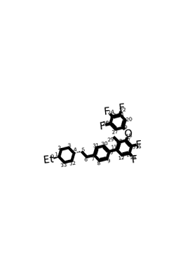 CC[C@H]1CC[C@H](CCc2ccc(-c3cc(F)c(F)c(Oc4cc(F)c(F)c(F)c4)c3C)cc2)CC1